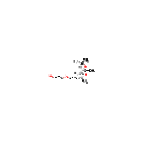 C[Si](C)(C)O[Si](C)(C)O[Si](C)(C)CCCOCCCO